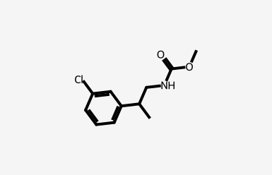 COC(=O)NCC(C)c1cccc(Cl)c1